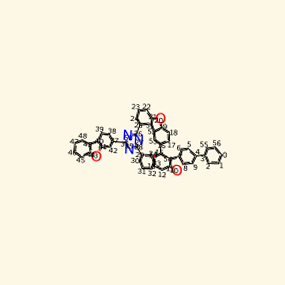 c1ccc(-c2ccc3c(c2)oc2cccc(-c4ccc5oc6cccc(-c7nc(-c8ccccc8)nc(-c8ccc9c(c8)oc8ccccc89)n7)c6c5c4)c23)cc1